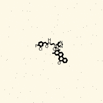 CC1C=c2c(ccc3c2=CC(=O)c2ccccc2-3)C(C)(N2CN(CCNC(=O)Cc3ccc(F)c(Cl)c3)c3cncnc32)C1=O